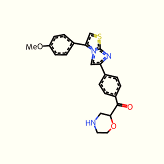 COc1ccc(-c2csc3nc(-c4ccc(C(=O)C5CNCCO5)cc4)cn23)cc1